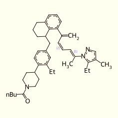 C=C(/C=C\C=C(/C)n1ncc(C)c1CC)c1cccc2c1C(Cc1ccc(C3CCN(C(=O)CCCC)CC3)c(CC)c1)CCC2